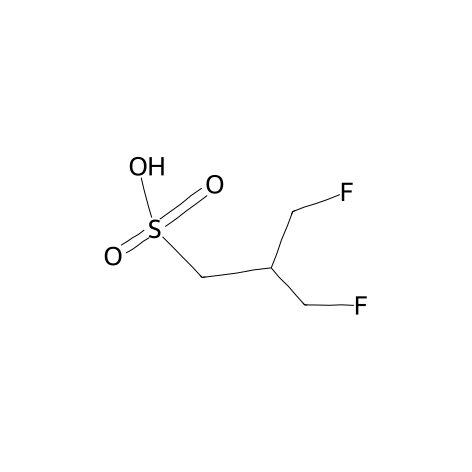 O=S(=O)(O)CC(CF)CF